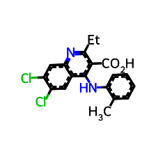 CCc1nc2cc(Cl)c(Cl)cc2c(Nc2ccccc2C)c1C(=O)O